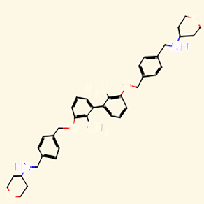 Cc1c(OCc2ccc(CNC3CCOCC3)cc2)cccc1-c1cccc(OCc2ccc(CNC3CCOCC3)cc2)c1C